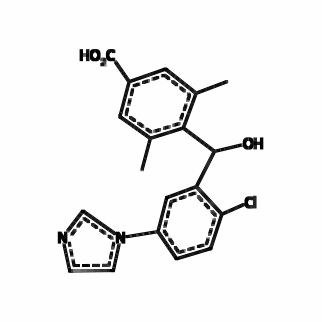 Cc1cc(C(=O)O)cc(C)c1C(O)c1cc(-n2ccnc2)ccc1Cl